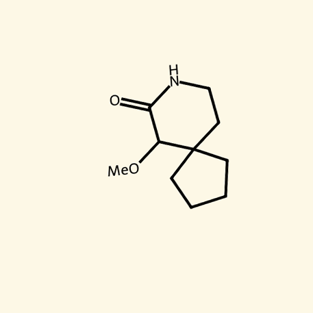 COC1C(=O)NCCC12CCCC2